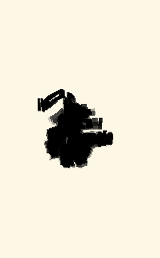 COc1ccccc1C(CN1c2sc(-c3ncco3)c(C)c2C(=O)N(c2cccc(C(=O)O)c2F)C1O)OC1CCOCC1